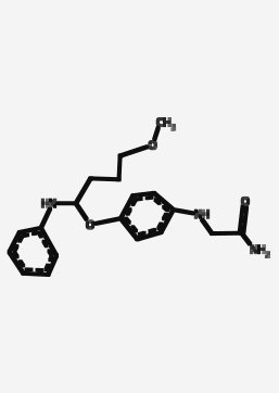 COCCCC(Nc1ccccc1)Oc1ccc(NCC(N)=O)cc1